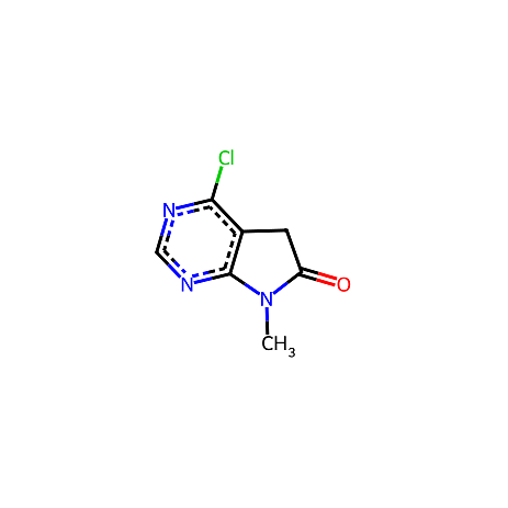 CN1C(=O)Cc2c(Cl)ncnc21